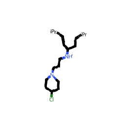 CC(C)CCC(CCC(C)C)NCCCN1CCC(Cl)CC1